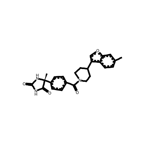 Cc1ccc2c(C3CCN(C(=O)c4ccc([C@@]5(C)NC(=O)NC5=O)cc4)CC3)coc2c1